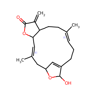 C=C1C(=O)OC2/C=C(\C)CC3C=C(CC/C=C(\C)CCC12)C(O)O3